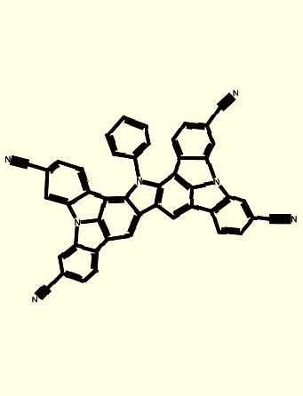 N#Cc1ccc2c3cc4c5cc6c7ccc(C#N)cc7n7c8cc(C#N)ccc8c(c5n(-c5ccccc5)c4c4c5ccc(C#N)cc5n(c2c1)c34)c67